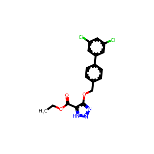 CCOC(=O)c1[nH]nnc1OCc1ccc(-c2cc(Cl)cc(Cl)c2)cc1